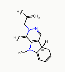 C=C(C)CN1N=CC2=C(C1=C)N(CCC)C1=CC=CC[C@H]12